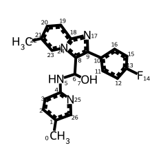 Cc1ccc(NC(O)c2c(-c3ccc(F)cc3)nc3ccc(C)cn23)nc1